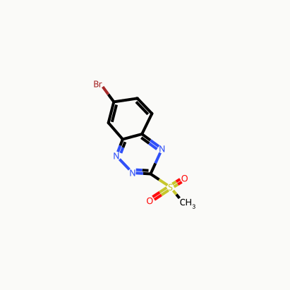 CS(=O)(=O)c1nnc2cc(Br)ccc2n1